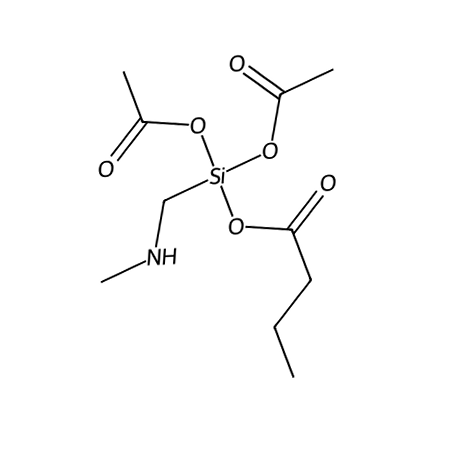 CCCC(=O)O[Si](CNC)(OC(C)=O)OC(C)=O